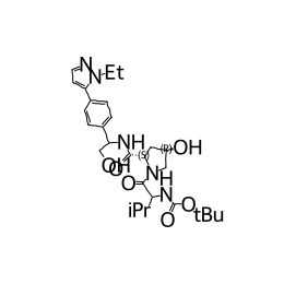 CCn1nccc1-c1ccc(C(CO)NC(=O)[C@@H]2C[C@@H](O)CN2C(=O)C(NC(=O)OC(C)(C)C)C(C)C)cc1